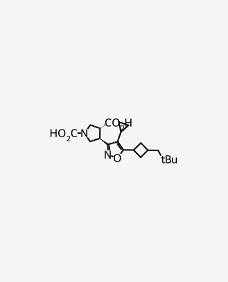 CC(C)(C)CC1CC(c2onc([C@H]3CN(C(=O)O)C[C@@H]3C(=O)O)c2C2CC2)C1